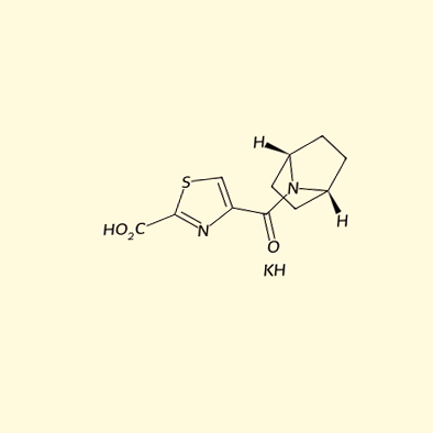 O=C(O)c1nc(C(=O)N2[C@H]3CC[C@@H]2CC3)cs1.[KH]